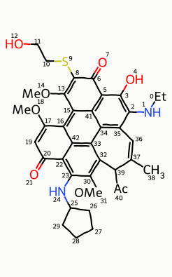 CCNc1c(O)c2c(=O)c(SCCO)c(OC)c3c4c(OC)cc(=O)c5c(NC6CCCC6)c(OC)c6c(c(c1C=C(C)C6C(C)=O)c23)c54